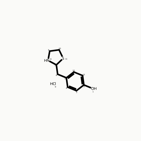 Cl.Oc1ccc(CC2NCCS2)cc1